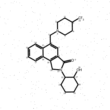 O=C1c2cc(CN3CCC(C(F)(F)F)CC3)c3ccccc3c2CN1C1CCCCC1O